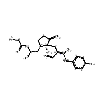 C=C1CC[C@H](CC(CCC)NC(=O)CC(C)C)[C@@]1(C)C/C(C=N)=C(\C)Nc1ccc(F)cc1